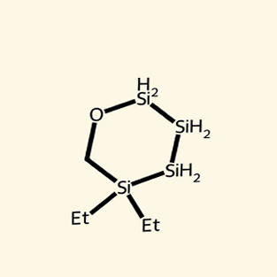 CC[Si]1(CC)CO[SiH2][SiH2][SiH2]1